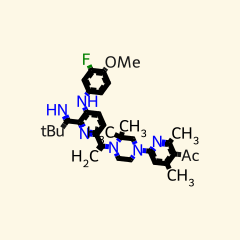 C=C(c1ccc(Nc2ccc(OC)c(F)c2)c(C(=N)C(C)(C)C)n1)N1CCN(c2cc(C)c(C(C)=O)c(C)n2)CC1(C)C